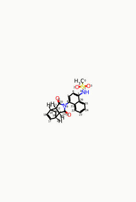 CS(=O)(=O)Nc1ccc(N2C(=O)[C@@H]3[C@H](C2=O)[C@@H]2C=C[C@H]3C2)c2ccccc12